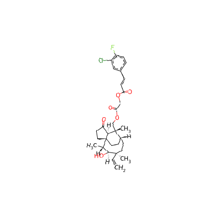 C=C[C@]1(C)CC[C@@H]2CC[C@]3(CCC(=O)[C@H]3[C@]2(C)COC(=O)COC(=O)/C=C/c2ccc(F)c(Cl)c2)[C@@H](C)[C@@H]1O